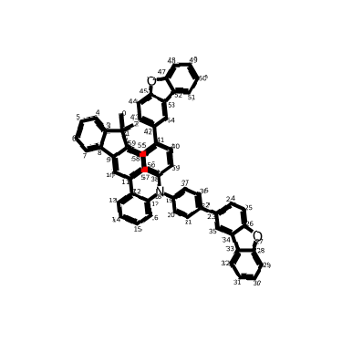 CC1(C)c2ccccc2-c2cc(-c3ccccc3N(c3ccc(-c4ccc5oc6ccccc6c5c4)cc3)c3ccc(-c4ccc5oc6ccccc6c5c4)cc3)ccc21